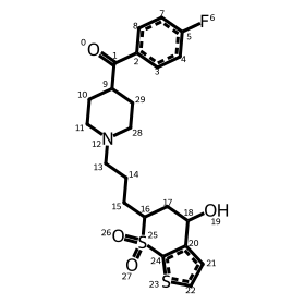 O=C(c1ccc(F)cc1)C1CCN(CCCC2CC(O)c3ccsc3S2(=O)=O)CC1